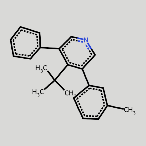 Cc1cccc(-c2cncc(-c3ccccc3)c2C(C)(C)C)c1